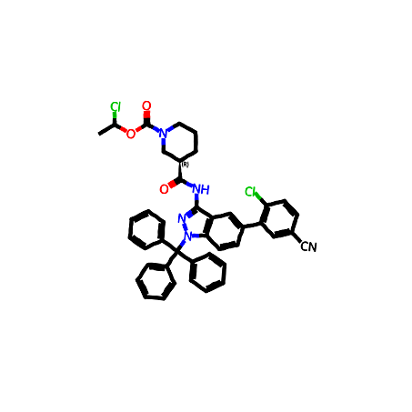 CC(Cl)OC(=O)N1CCC[C@@H](C(=O)Nc2nn(C(c3ccccc3)(c3ccccc3)c3ccccc3)c3ccc(-c4cc(C#N)ccc4Cl)cc23)C1